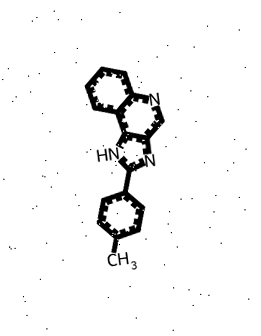 Cc1ccc(-c2nc3cnc4ccccc4c3[nH]2)cc1